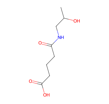 CC(O)CNC(=O)CCCC(=O)O